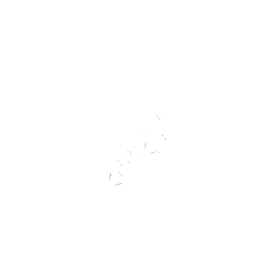 COC1CN([C@@H]2CNC3CC(=C(S(=O)(=O)NC(=O)Nc4c5c(cc6c4CCC6)CCC5)C=N3)OC2)C1